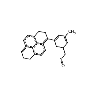 CC1=CC(CN=O)CC(C2=c3ccc4c5c(ccc(c35)CC2)=CCC4)=C1